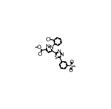 COC(=O)c1cc(-c2nnc(-c3cccc(S(C)(=O)=O)c3)s2)n(-c2ccccc2Cl)n1